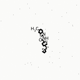 Cc1ccc2nc(NC(=O)c3ccc([I+]c4cccs4)cn3)sc2c1